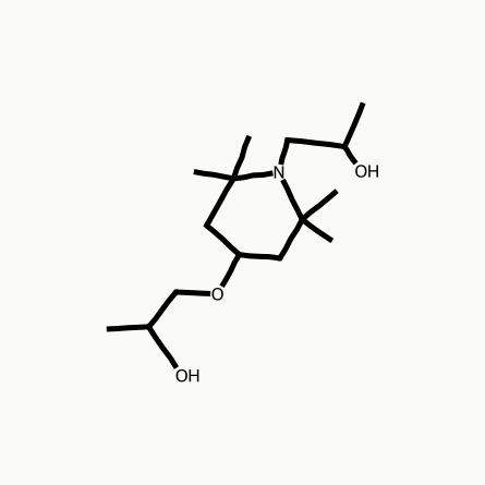 CC(O)COC1CC(C)(C)N(CC(C)O)C(C)(C)C1